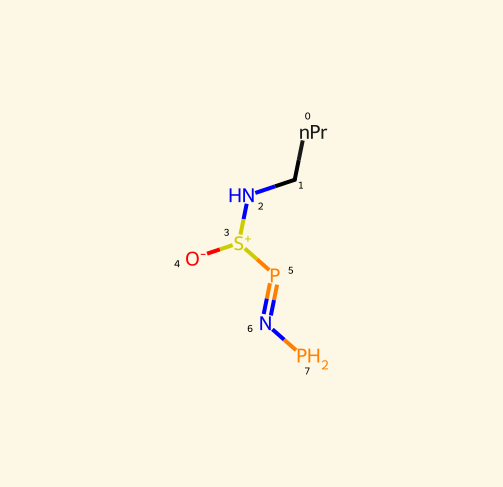 CCCCN[S+]([O-])P=NP